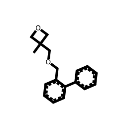 CC1(COCc2ccccc2-c2ccccc2)COC1